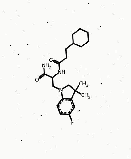 CC1(C)CN(CC(NC(=O)[CH]CC2CCCCC2)C(N)=O)c2ccc(F)cc21